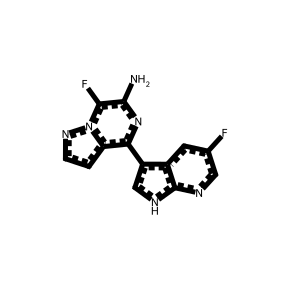 Nc1nc(-c2c[nH]c3ncc(F)cc23)c2ccnn2c1F